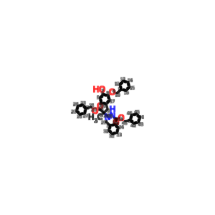 C[C@](Cc1ccc(O)c(OCc2ccccc2)c1)(C(=O)OCc1ccccc1)N(Cc1ccccc1)NC(=O)OCc1ccccc1